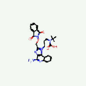 CC(C)(C)N(CCCn1c(CON2C(=O)c3ccccc3C2=O)nc2c(N)nc3ccccc3c21)C(=O)O